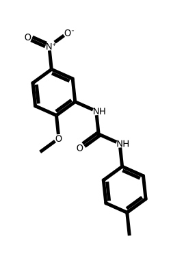 COc1ccc([N+](=O)[O-])cc1NC(=O)Nc1ccc(C)cc1